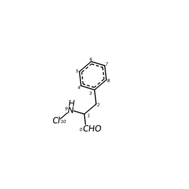 O=CC(Cc1ccccc1)NCl